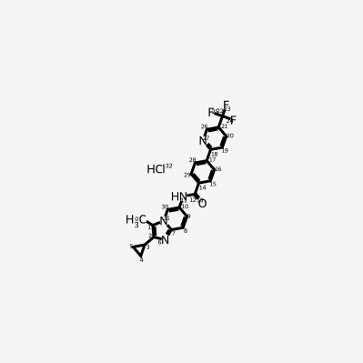 Cc1c(C2CC2)nc2ccc(NC(=O)c3ccc(-c4ccc(C(F)(F)F)cn4)cc3)cn12.Cl